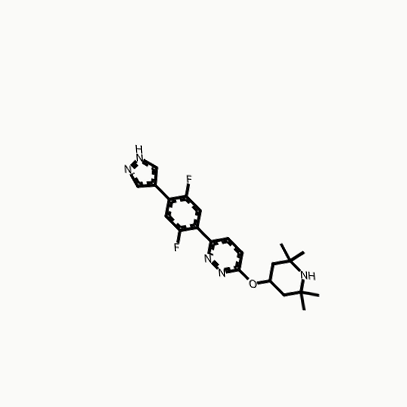 CC1(C)CC(Oc2ccc(-c3cc(F)c(-c4cn[nH]c4)cc3F)nn2)CC(C)(C)N1